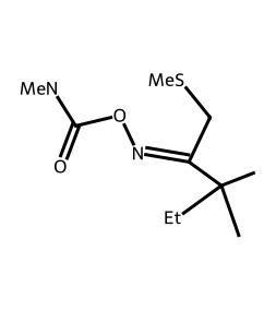 CCC(C)(C)C(CSC)=NOC(=O)NC